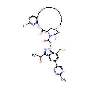 CC(=O)c1nn(CC(=O)N2[C@H]3C[C@@]4(CCCCCCCOCc5ccc(Br)nc5NC3=O)C[C@@H]24)c2c(CF)cc(-c3cnc(C)nc3)cc12